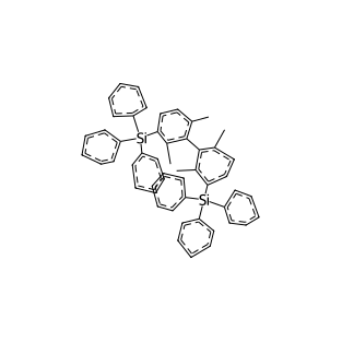 Cc1ccc([Si](c2ccccc2)(c2ccccc2)c2ccccc2)c(C)c1-c1c(C)ccc([Si](c2ccccc2)(c2ccccc2)c2ccccc2)c1C